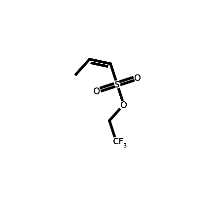 C/C=C\S(=O)(=O)OCC(F)(F)F